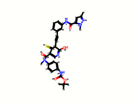 Cc1cc(C(=O)Nc2cccc(C#CC3C(=S)C(C(=O)N(C)c4ccc(NC(=O)OC(C)(C)C)cc4)=CN=C3O)c2)n(C)n1